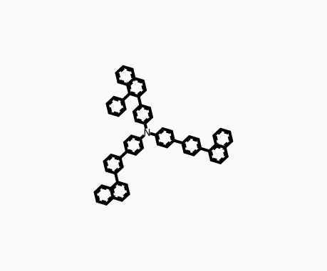 c1ccc(-c2c(-c3ccc(N(c4ccc(-c5ccc(-c6cccc7ccccc67)cc5)cc4)c4ccc(-c5cccc(-c6cccc7ccccc67)c5)cc4)cc3)ccc3ccccc23)cc1